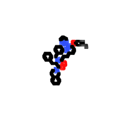 COc1ccc(C=CC(=O)N(Cc2ccc(-n3cccn3)cc2)C(Cc2ccccc2)C(=O)N2CCc3ccccc3C2)nn1